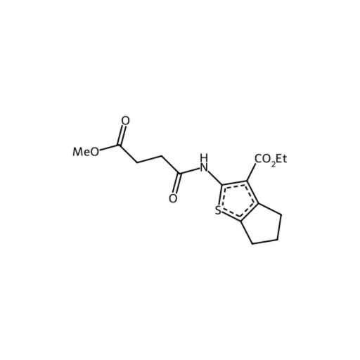 CCOC(=O)c1c(NC(=O)CCC(=O)OC)sc2c1CCC2